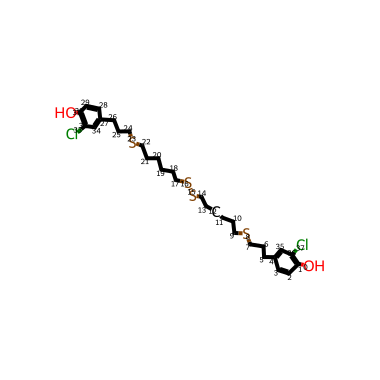 Oc1ccc(CCCSCCCCCCSSCCCCCCSCCCc2ccc(O)c(Cl)c2)cc1Cl